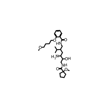 COCCCCOc1ccccc1C(=O)NCC(CC(N)C(O)CNC(=O)C1(OC)CCCC1)C(C)C